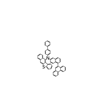 c1ccc(-c2ccc(N(c3ccc4c(-c5cc6ccccc6c6ccccc56)cccc4c3)c3c4ccccc4cc4sc5ccccc5c34)cc2)cc1